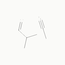 CC#N.CC(C)C=O